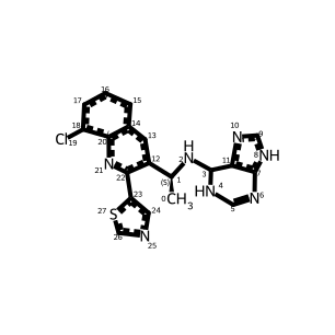 C[C@H](NC1NC=Nc2[nH]cnc21)c1cc2cccc(Cl)c2nc1-c1cncs1